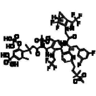 Cc1cc(P(=O)(O)O)cc(OP(=O)(O)O)c1C(C)(C)CC(=O)N(c1nn(CC(F)(F)F)c2c(-c3ccc(CCC(C)(C)S(C)(=O)=O)nc3[C@H](Cc3cc(F)cc(F)c3)NC(=O)Cn3nc(C(F)(F)F)c4c3C(F)(F)[C@@H]3CC43)ccc(Cl)c12)S(C)(=O)=O